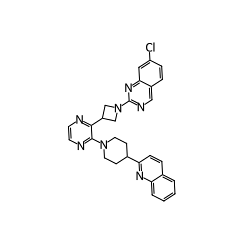 Clc1ccc2cnc(N3CC(c4nccnc4N4CCC(c5ccc6ccccc6n5)CC4)C3)nc2c1